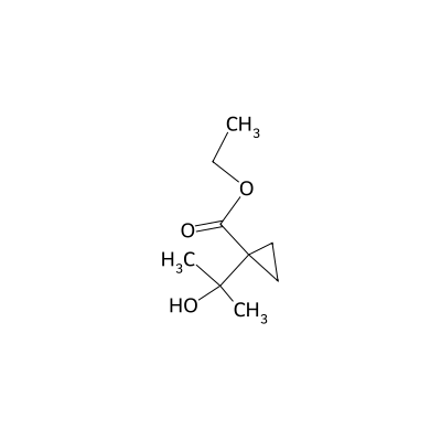 CCOC(=O)C1(C(C)(C)O)CC1